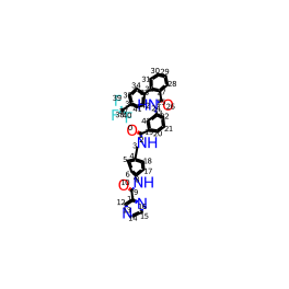 O=C(NCc1ccc(NC(=O)c2cnccn2)cc1)c1cccc(NC(=O)c2ccccc2-c2ccc(C(F)(F)F)cc2)c1